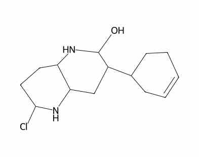 OC1NC2CCC(Cl)NC2CC1C1CC=CCC1